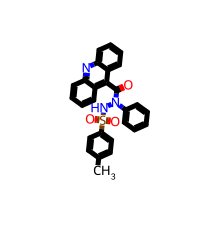 Cc1ccc(S(=O)(=O)NN(C(=O)c2c3ccccc3nc3ccccc23)c2ccccc2)cc1